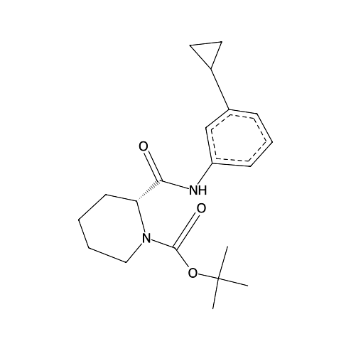 CC(C)(C)OC(=O)N1CCCC[C@@H]1C(=O)Nc1cccc(C2CC2)c1